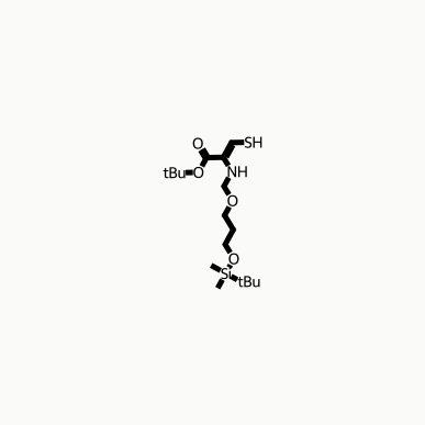 CC(C)(C)OC(=O)/C(=C/S)NCOCCCO[Si](C)(C)C(C)(C)C